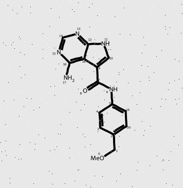 COCc1ccc(NC(=O)c2c[nH]c3ncnc(N)c23)cc1